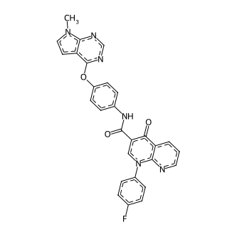 Cn1ccc2c(Oc3ccc(NC(=O)c4cn(-c5ccc(F)cc5)c5ncccc5c4=O)cc3)ncnc21